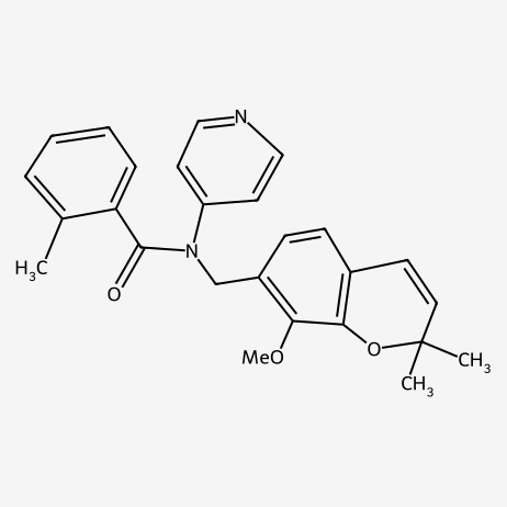 COc1c(CN(C(=O)c2ccccc2C)c2ccncc2)ccc2c1OC(C)(C)C=C2